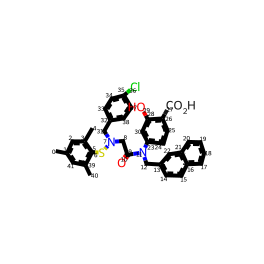 Cc1cc(C)c(SN(CC(=O)N(Cc2ccc3ccccc3c2)c2ccc(C(=O)O)c(O)c2)Cc2ccc(Cl)cc2)c(C)c1